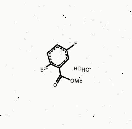 [B+2]c1ccc(F)cc1C(=O)OC.[OH-].[OH-]